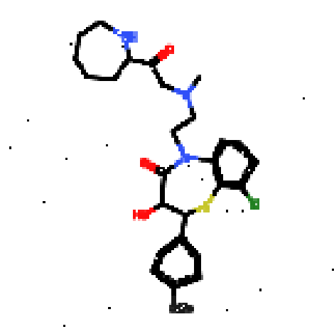 COc1ccc(C2Sc3c(Cl)cccc3N(CCN(C)CC(=O)C3CCCCCN3)C(=O)C2O)cc1